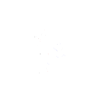 CC(C)OP(=O)(OC(C)C)[C@@H](CO[C@@H]1CN(C(=O)OC(C)(C)C)C[C@H]1n1cnc2c(Cl)ncnc21)CC(C)(C)[Si](C)(C)O